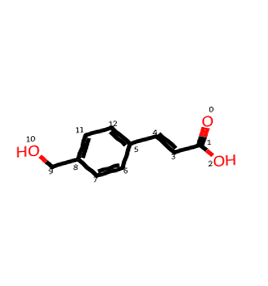 O=C(O)/C=C/c1ccc(CO)cc1